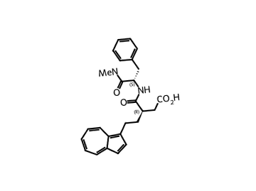 CNC(=O)[C@H](Cc1ccccc1)NC(=O)[C@H](CCc1ccc2cccccc1-2)CC(=O)O